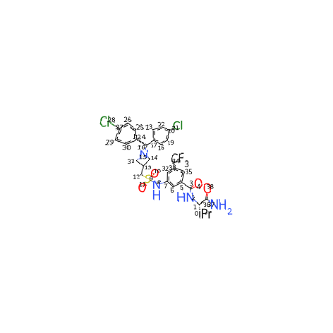 CC(C)[C@H](NC(=O)c1cc(NS(=O)(=O)CC2CN(C(c3ccc(Cl)cc3)c3ccc(Cl)cc3)C2)cc(C(F)(F)F)c1)C(N)=O